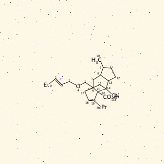 CC/C=C/COCC12CC3C(C)CCC3C3(C#N)CC1C=C(C(C)C)C32C(=O)O